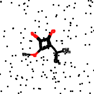 C=C(C)c1c(OCC)c(=O)c1=O